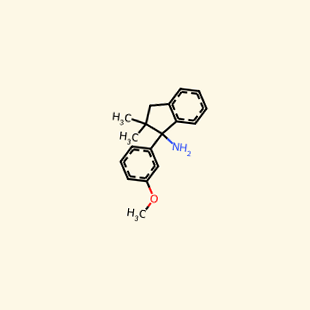 COc1cccc(C2(N)c3ccccc3CC2(C)C)c1